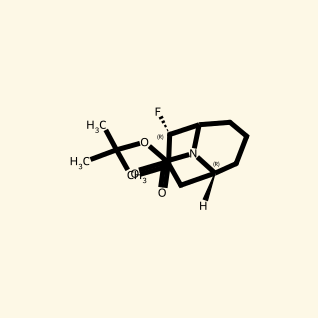 CC(C)(C)OC(=O)N1C2CCC[C@@H]1CC(=O)[C@@H]2F